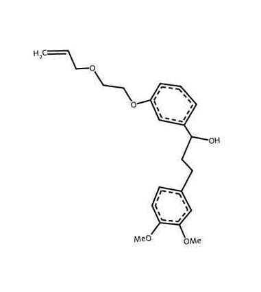 C=CCOCCOc1cccc(C(O)CCc2ccc(OC)c(OC)c2)c1